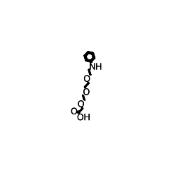 O=C(O)COCCOCCOCCNc1ccccc1